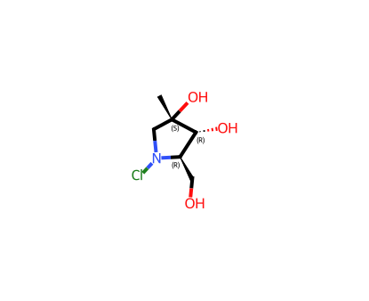 C[C@]1(O)CN(Cl)[C@H](CO)[C@H]1O